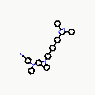 N#Cc1ccc(N(c2ccccc2)c2ccc3c(c2)c2ccccc2n3-c2ccc(-c3ccc(-c4ccc(-c5cc(-c6ccccc6)nc(-c6ccccc6)n5)cc4)cc3)cc2)cc1